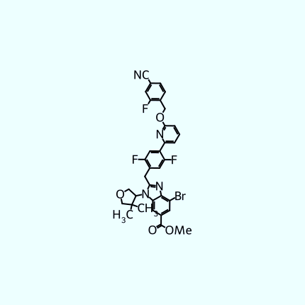 COC(=O)c1cc(Br)c2nc(Cc3cc(F)c(-c4cccc(OCc5ccc(C#N)cc5F)n4)cc3F)n(C3COCC3(C)C)c2c1